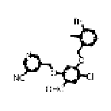 Cc1c(Br)cccc1COc1cc(OCc2cncc(C#N)c2)c(C=O)cc1Cl